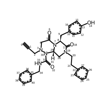 C#CCN1CC(=O)N2[C@@H](Cc3ccc(O)cc3)C(=O)N(CCc3ccccc3)C[C@@H]2N1C(=O)NCc1ccccc1